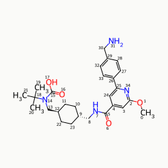 COc1cc(C(=O)NC[C@H]2CC[C@H](CN(C(=O)O)C(C)(C)C)CC2)cc(-c2ccc(CN)cc2)n1